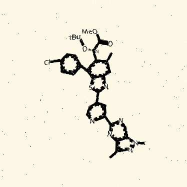 COC(=O)[C@@H](OC(C)(C)C)c1c(C)cc2nc(-c3ccnc(-c4ncc5c(n4)c(C)nn5C)c3)sc2c1-c1ccc(Cl)cc1